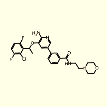 CC(Oc1cc(-c2cccc(C(=O)NCCN3CCOCC3)c2)cnc1N)c1c(F)ccc(F)c1Cl